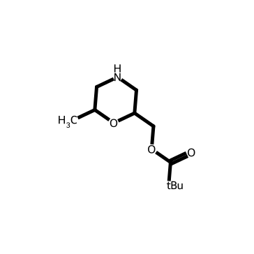 CC1CNCC(COC(=O)C(C)(C)C)O1